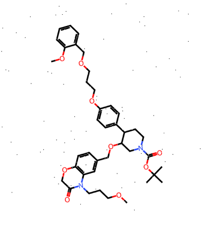 COCCCN1C(=O)COc2ccc(COC3CN(C(=O)OC(C)(C)C)CCC3c3ccc(OCCCOCc4ccccc4OC)cc3)cc21